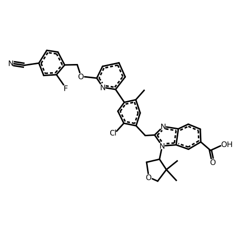 Cc1cc(Cc2nc3ccc(C(=O)O)cc3n2C2COCC2(C)C)c(Cl)cc1-c1cccc(OCc2ccc(C#N)cc2F)n1